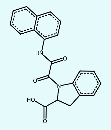 O=C(Nc1cccc2ccccc12)C(=O)N1c2ccccc2CC1C(=O)O